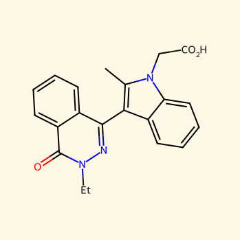 CCn1nc(-c2c(C)n(CC(=O)O)c3ccccc23)c2ccccc2c1=O